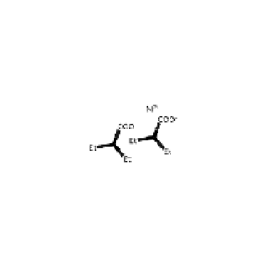 CCC(CC)C(=O)[O-].CCC(CC)C(=O)[O-].[Ni+2]